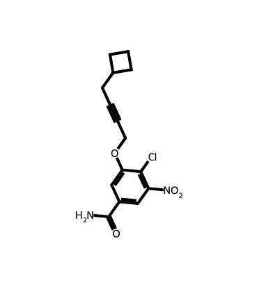 NC(=O)c1cc(OCC#CCC2CCC2)c(Cl)c([N+](=O)[O-])c1